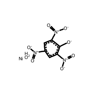 O.O=[N+]([O-])c1cc([N+](=O)[O-])c([O-])c([N+](=O)[O-])c1.[Ni]